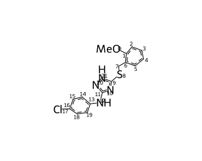 COc1ccccc1CSc1nc(Nc2ccc(Cl)cc2)n[nH]1